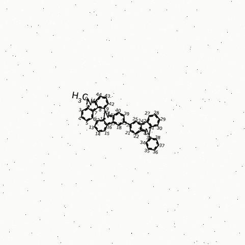 Cn1c2ccccc2c2c(-n3c4ccccc4c4cc(-c5ccc6c(c5)c5ccccc5n6-c5ccccc5)ccc43)cccc21